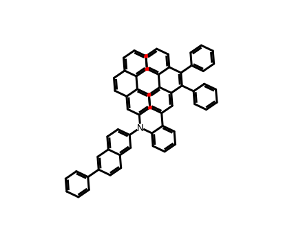 c1ccc(-c2ccc3cc(N(c4ccc5c(ccc6ccccc65)c4)c4ccccc4-c4ccc5c(c4)c(-c4ccccc4)c(-c4ccccc4)c4ccccc45)ccc3c2)cc1